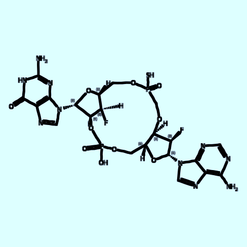 Nc1nc2c(ncn2[C@@H]2O[C@@H]3COP(=O)(S)CO[C@H]4[C@@H](F)[C@H](n5cnc6c(N)ncnc65)O[C@@H]4COP(=O)(O)O[C@@H]2[C@@H]3F)c(=O)[nH]1